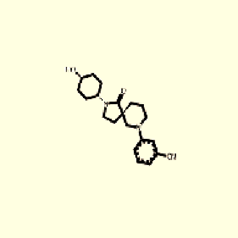 N#Cc1cccc(N2CCC[C@]3(CCN([C@H]4CC[C@H](O)CC4)C3=O)C2)c1